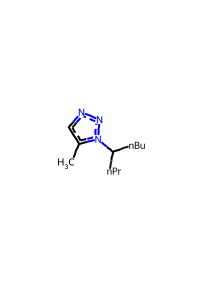 CCCCC(CCC)n1nncc1C